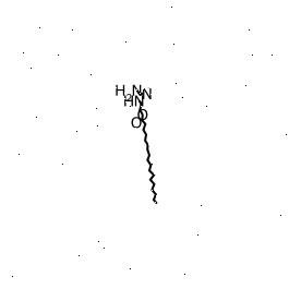 CCCCCCCCCCCCCCCCCC(=O)OCCNC(N)=NC